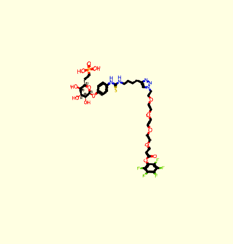 O=C(CCOCCOCCOCCOCCn1cc(CCCCNC(=S)Nc2ccc(O[C@@H]3O[C@@H](CCP(=O)(O)O)[C@H](O)[C@@H](O)[C@H]3O)cc2)nn1)Oc1c(F)c(F)c(F)c(F)c1F